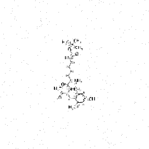 CC(=O)C(Cc1c(C)cc(O)cc1C)NC(=O)C(N)CCCCNC(=O)OC(C)(C)C